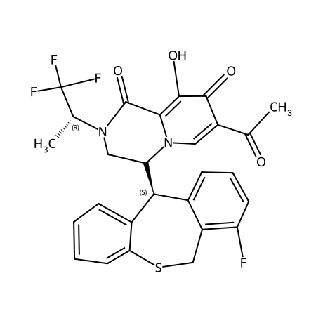 CC(=O)c1cn2c(c(O)c1=O)C(=O)N([C@H](C)C(F)(F)F)CC2[C@@H]1c2ccccc2SCc2c(F)cccc21